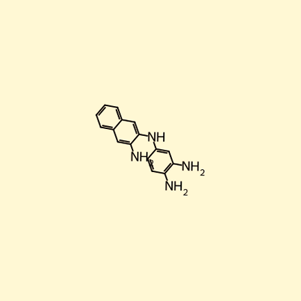 Nc1ccc(Nc2cc3ccccc3cc2N)cc1N